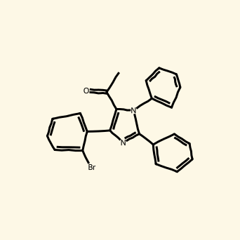 CC(=O)c1c(-c2ccccc2Br)nc(-c2ccccc2)n1-c1ccccc1